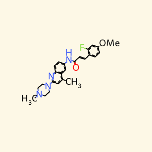 COc1ccc(C=CC(=O)Nc2ccc3nc(N4CCN(C)CC4)cc(C)c3c2)c(F)c1